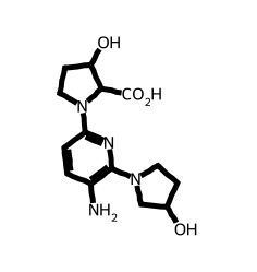 Nc1ccc(N2CCC(O)C2C(=O)O)nc1N1CCC(O)C1